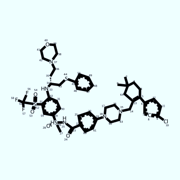 CC1(C)CCC(c2ccc(Cl)cc2)=C(CN2CCN(c3ccc(C(=O)N[SH](C)(=O)c4ccc(N[C@H](CCN5CCOCC5)CSc5ccccc5)c(S(=O)(=O)C(F)(F)F)c4)cc3)CC2)C1